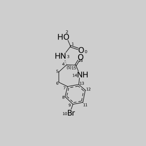 O=C(O)N[C@H]1CCc2cc(Br)ccc2NC1=O